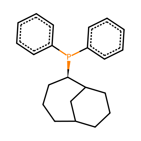 c1ccc(P(c2ccccc2)[C@@H]2CCCC3CCCC2C3)cc1